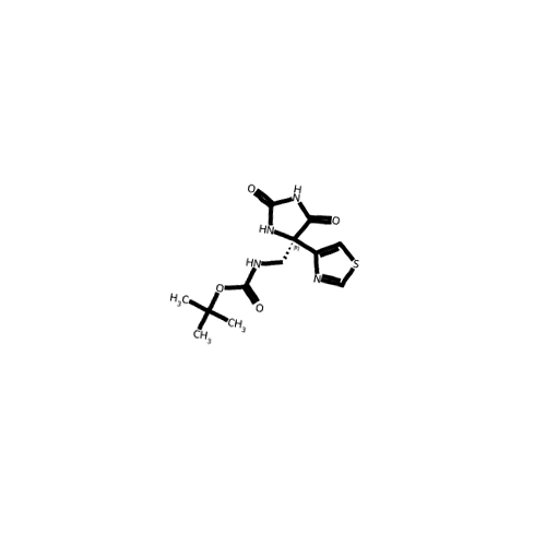 CC(C)(C)OC(=O)NC[C@]1(c2cscn2)NC(=O)NC1=O